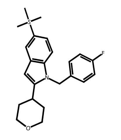 CS(C)(C)c1ccc2c(c1)cc(C1CCOCC1)n2Cc1ccc(F)cc1